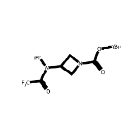 CC(C)N(C(=O)C(F)(F)F)C1CN(C(=O)OC(C)(C)C)C1